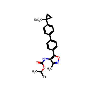 CCOC(=O)C1(c2ccc(-c3ccc(-c4onc(C)c4NC(=O)OC(C)C(C)C)cc3)cc2)CC1